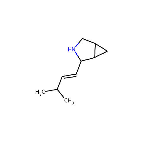 CC(C)/C=C/C1NCC2CC21